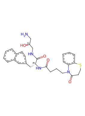 NC[C@H](O)CNC(=O)[C@@H](Cc1ccc2ccccc2c1)NC(=O)CCCN1C(=O)CCSc2ccccc21